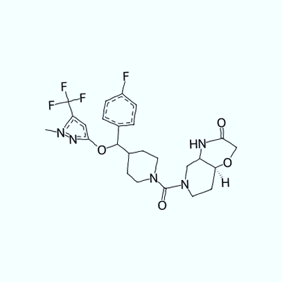 Cn1nc(OC(c2ccc(F)cc2)C2CCN(C(=O)N3CC[C@@H]4OCC(=O)NC4C3)CC2)cc1C(F)(F)F